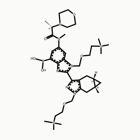 C[C@@H](C(=O)N(C)c1cc(B(O)O)c2nc(-c3nn(COCC[Si](C)(C)C)c4c3C[C@@H]3C[C@]3(C)C4)n(COCC[Si](C)(C)C)c2c1)N1CCOCC1